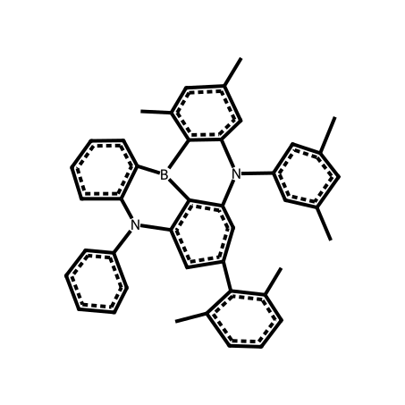 Cc1cc(C)cc(N2c3cc(C)cc(C)c3B3c4ccccc4N(c4ccccc4)c4cc(-c5c(C)cccc5C)cc2c43)c1